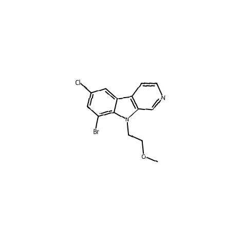 COCCn1c2cnccc2c2cc(Cl)cc(Br)c21